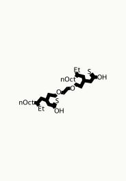 CCCCCCCCC(CC)CC(CCOCCOCCC(CC(O)=S)CC(CC)CCCCCCCC)CC(O)=S